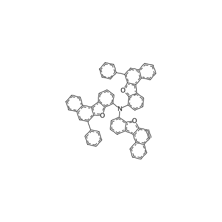 c1c2ccccc2c2c(c#1)oc1c(N(c3cccc4c3oc3c(-c5ccccc5)cc5ccccc5c34)c3cccc4c3oc3c(-c5ccccc5)cc5ccccc5c34)cccc12